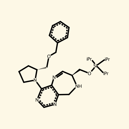 CC(C)[Si](OC[C@@H]1C=Nc2c(ncnc2N2CCC[C@@H]2COCc2ccccc2)CN1)(C(C)C)C(C)C